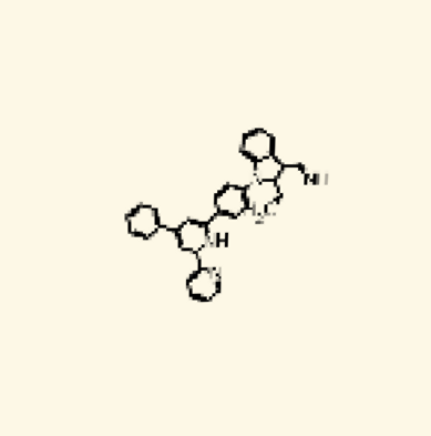 C=CC1C(C=N)c2ccccc2N1c1ccc(C2=CC(c3ccccc3)=CC(c3ccccn3)N2)cc1